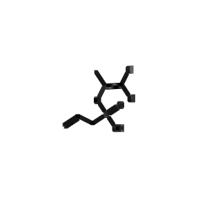 C=CCP(=O)(O)OC(C)=C(Cl)Cl